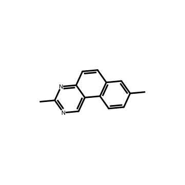 Cc1ccc2c(ccc3nc(C)ncc32)c1